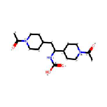 CC(=O)N1CCC(CC(NC(=O)O)C2CCN(C(C)=O)CC2)CC1